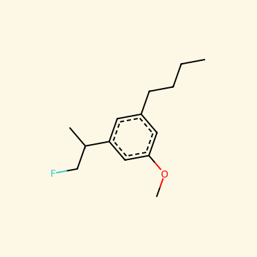 CCCCc1cc(OC)cc([C](C)CF)c1